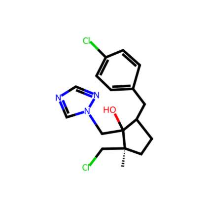 C[C@@]1(CCl)CCC(Cc2ccc(Cl)cc2)C1(O)Cn1cncn1